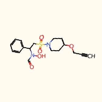 C#CCOC1CCN(S(=O)(=O)CC(c2ccccc2)N(O)C=O)CC1